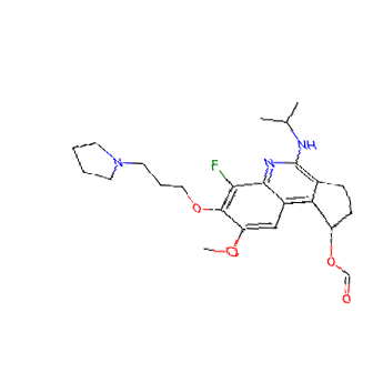 COc1cc2c3c(c(NC(C)C)nc2c(F)c1OCCCN1CCCC1)CCC3OC=O